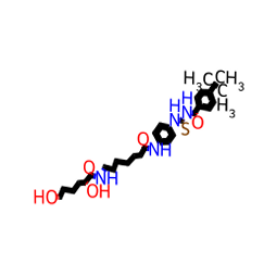 CC(C)(C)c1ccc(C(=O)NC(=S)Nc2ccc(NC(=O)CCCCCCNC(=O)C(O)CCCCO)cc2)cc1